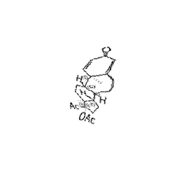 CC(=O)O[C@@]1(C(C)=O)CC[C@H]2[C@@H]3CCC4=CC(=O)C=C[C@]4(C)[C@H]3CC[C@@]21C